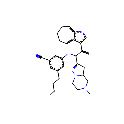 C=C(c1c[nH]c2c1=CCCCC=2)C(Nc1cc(C#N)cc(CCCS)c1)C1=NN2CCN(C)CC2C1